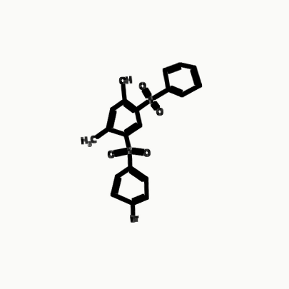 Cc1cc(O)c(S(=O)(=O)c2ccccc2)cc1S(=O)(=O)c1ccc(Br)cc1